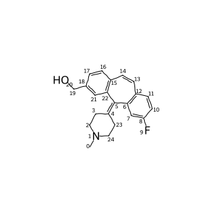 CN1CCC(=C2c3cc(F)ccc3C=Cc3ccc(CO)cc32)CC1